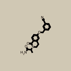 CC(C(N)=O)N1CCc2cc(OCc3cccc(C#N)c3)ccc2C1=O